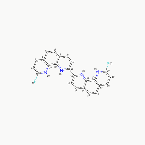 Fc1ccc2ccc3ccc(-c4ccc5ccc6ccc(F)nc6c5n4)nc3c2n1